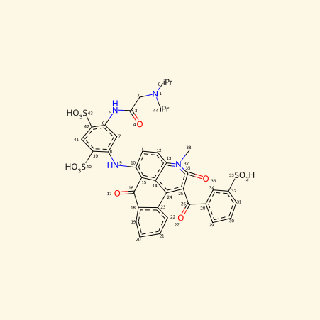 CC(C)N(CC(=O)Nc1cc(Nc2ccc3c4c2C(=O)c2ccccc2-c4c(C(=O)c2cccc(S(=O)(=O)O)c2)c(=O)n3C)c(S(=O)(=O)O)cc1S(=O)(=O)O)C(C)C